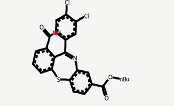 CCCCOC(=O)c1ccc2c(c1)N=C(c1ccc(Cl)c(Cl)c1)c1c(cccc1C(N)=O)S2